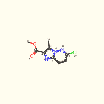 COC(=O)c1nc2ccc(Cl)nn2c1C